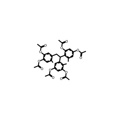 CC(=O)Oc1cc(C)c(C(Cc2cc(OC(C)=O)c(OC(C)=O)cc2C)c2cc(OC(C)=O)cc(OC(C)=O)c2C)c(OC(C)=O)c1